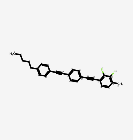 CCCCCc1ccc(C#Cc2ccc(C#Cc3ccc(C)c(F)c3F)cc2)cc1